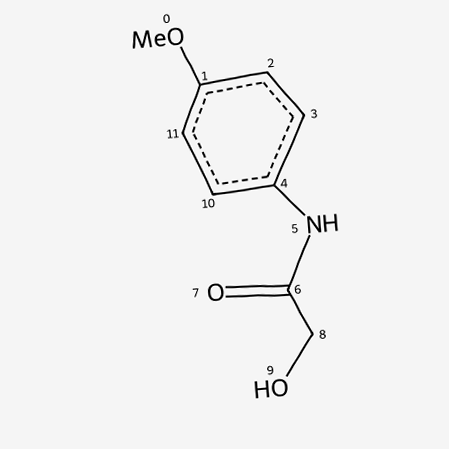 COc1ccc(NC(=O)CO)cc1